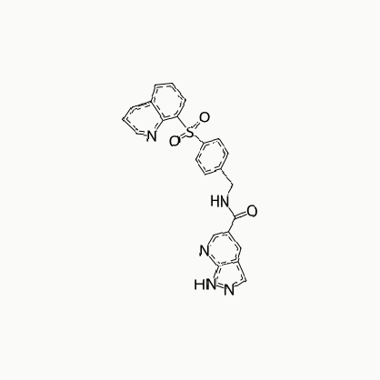 O=C(NCc1ccc(S(=O)(=O)c2cccc3cccnc23)cc1)c1cnc2[nH]ncc2c1